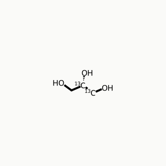 OC[13C@H](O)[13CH2]O